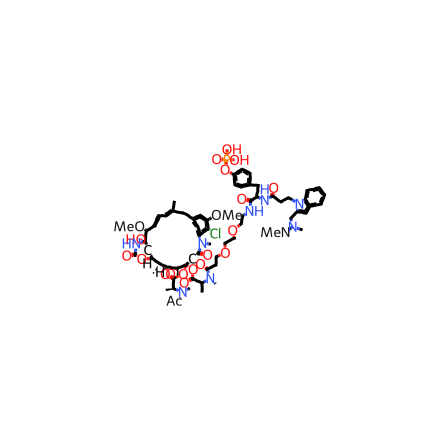 CNN(C)Cc1cc2ccccc2n1CCC(=O)NC(Cc1ccc(OP(=O)(O)O)cc1)C(=O)NCCOCCOCCC(=O)N(C)C(C)C(=O)O[C@]1(OC(=O)[C@H](C)N(C)C(C)=O)CC(=O)N(C)c2cc(cc(OC)c2Cl)C/C(C)=C/C=C/C(OC)[C@@]2(O)C[C@H](OC(=O)N2)[C@@H](C)[C@@H]2O[C@]21C